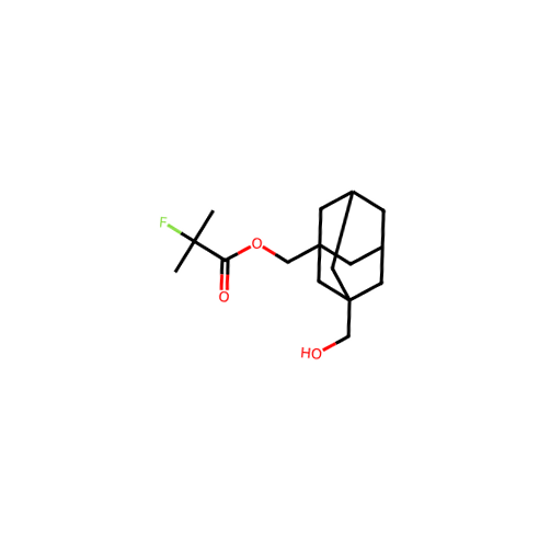 CC(C)(F)C(=O)OCC12CC3CC(CC(CO)(C3)C1)C2